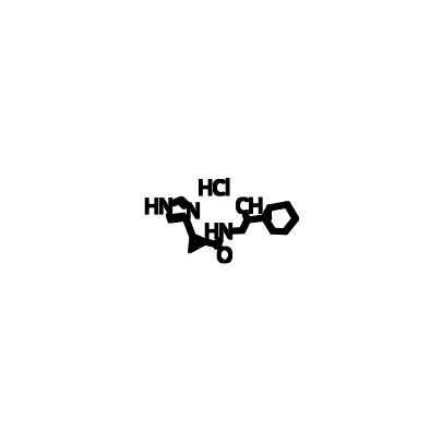 CC(CNC(=O)C1CC1c1c[nH]cn1)C1CCCCC1.Cl